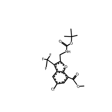 COC(=O)c1cc(Cl)cc2c(C(F)(F)F)c(CNC(=O)OC(C)(C)C)oc12